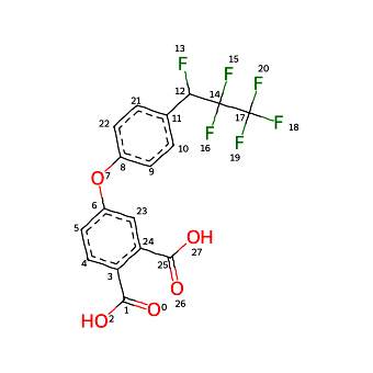 O=C(O)c1ccc(Oc2ccc(C(F)C(F)(F)C(F)(F)F)cc2)cc1C(=O)O